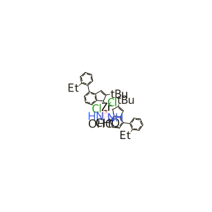 CCc1ccccc1-c1cccc2c1C=C(C(C)(C)C)[CH]2[Zr]([Cl])([Cl])([B](NC=O)NC=O)[CH]1C(C(C)(C)C)=Cc2c(-c3ccccc3CC)cccc21